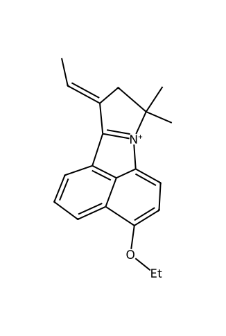 C/C=C1\CC(C)(C)[N+]2=C1c1cccc3c(OCC)ccc2c13